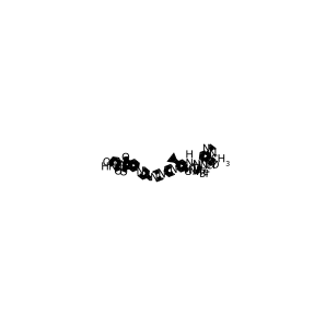 COc1cc(N2CCC(N3CCN(CC4CCN(c5ccc6c(c5)C(=O)N(C5CCC(=O)NC5=O)C6=O)CC4)CC3)CC2)c(C2CC2)cc1Nc1ncc(Br)c(Nc2ccc3nccnc3c2P(C)(C)=O)n1